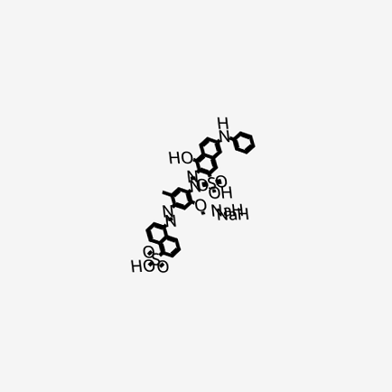 COc1cc(/N=N/c2cccc3c(S(=O)(=O)O)cccc23)c(C)cc1/N=N/c1c(S(=O)(=O)O)cc2cc(Nc3ccccc3)ccc2c1O.[NaH].[NaH]